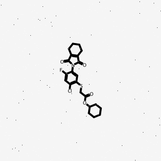 O=C(CSc1cc(N2C(=O)C3=C(CCCC3)C2=O)c(F)cc1Cl)OC1CCCCC1